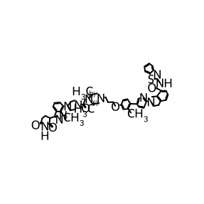 Cc1cc(OCCCN2C[C@@H](C)N(CC(=O)N3CCN(c4cccc5c(C6CCC(=O)NC6=O)nn(C)c45)CC3)[C@@H](C)C2)ccc1-c1ccc(N2CCc3cccc(C(=O)Nc4nc5ccccc5s4)c3C2)nc1